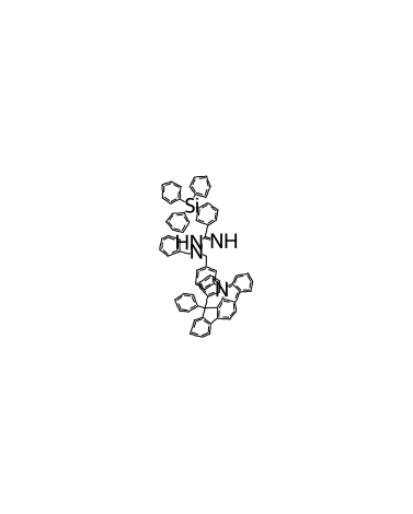 N=C(NN(Cc1ccccc1)Cc1cccc(-n2c3ccccc3c3ccc4c(c32)C(c2ccccc2)(c2ccccc2)c2ccccc2-4)c1)c1cccc([Si](c2ccccc2)(c2ccccc2)c2ccccc2)c1